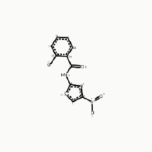 O=C(Nc1nc([N+](=O)[O-])cs1)c1ccccc1Cl